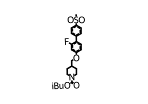 CC(C)COC(=O)N1CCC(COc2ccc(-c3ccc(S(C)(=O)=O)cc3)c(F)c2)CC1